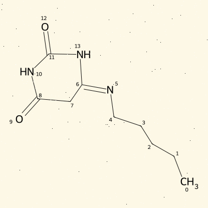 CCCCCN=C1CC(=O)NC(=O)N1